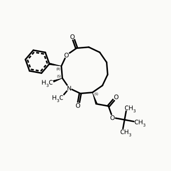 C[C@H]1[C@@H](c2ccccc2)OC(=O)CCCCC[C@@H](CC(=O)OC(C)(C)C)C(=O)N1C